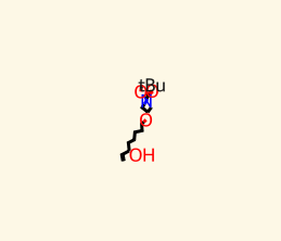 C=CC(O)CCCCCOC1CN(C(=O)OC(C)(C)C)C1